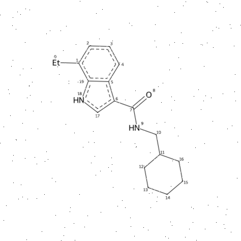 CCc1cccc2c(C(=O)NCC3CCCCC3)c[nH]c12